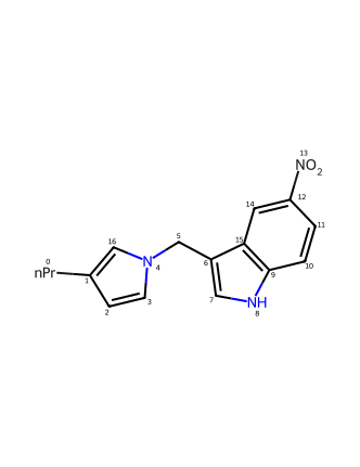 CCCc1ccn(Cc2c[nH]c3ccc([N+](=O)[O-])cc23)c1